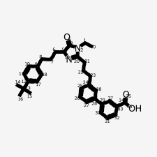 CCN1C(=O)C(CCCc2ccc(C(C)(C)C)cc2)N=C1CCCc1cccc(-c2cccc(C(=O)O)c2)c1